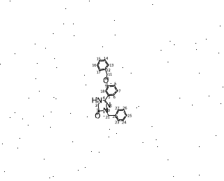 O=C1CNC(c2cccc(OCc3ccccc3)c2)=NN1Cc1ccccc1